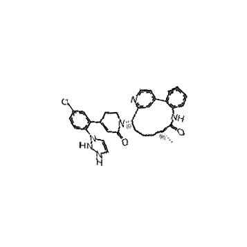 C[C@@H]1CCC[C@H](N2CCC(c3cc(Cl)ccc3N3C=CNN3)=CC2=O)c2cc(ccn2)-c2ccccc2NC1=O